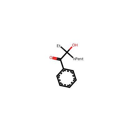 CCCCCC(O)(CC)C(=O)c1ccccc1